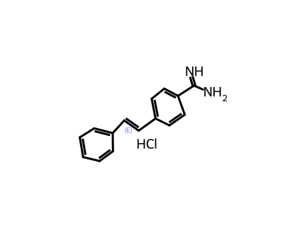 Cl.N=C(N)c1ccc(/C=C/c2ccccc2)cc1